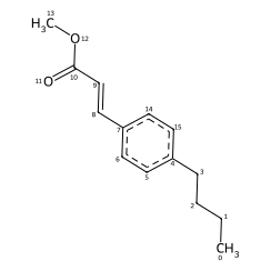 CCCCc1ccc(C=CC(=O)OC)cc1